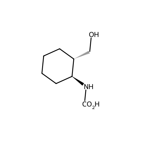 O=C(O)N[C@H]1CCCC[C@@H]1CO